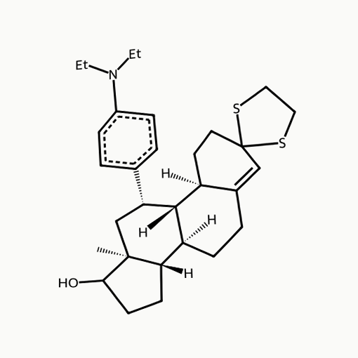 CCN(CC)c1ccc([C@H]2C[C@]3(C)C(O)CC[C@H]3[C@@H]3CCC4=CC5(CC[C@@H]4[C@H]32)SCCS5)cc1